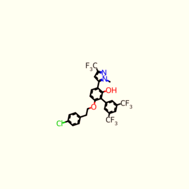 Cn1nc(C(F)(F)F)cc1-c1ccc(OCCc2ccc(Cl)cc2)c(-c2cc(C(F)(F)F)cc(C(F)(F)F)c2)c1O